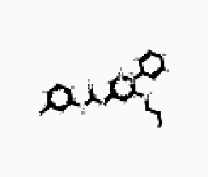 CCCOc1cc(=NC(=O)Oc2cccc(C)c2)cnn1C1C=CCC=C1